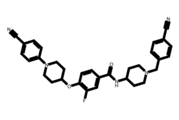 N#Cc1ccc(CN2CCC(NC(=O)c3ccc(OC4CCN(c5ccc(C#N)cc5)CC4)c(F)c3)CC2)cc1